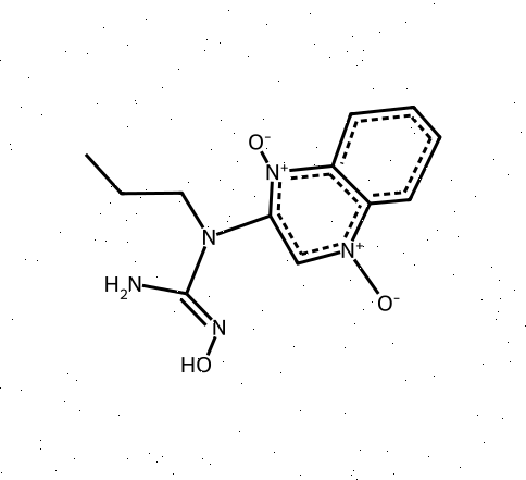 CCCN(C(N)=NO)c1c[n+]([O-])c2ccccc2[n+]1[O-]